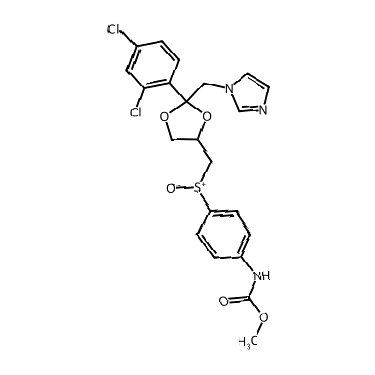 COC(=O)Nc1ccc([S+]([O-])CC2COC(Cn3ccnc3)(c3ccc(Cl)cc3Cl)O2)cc1